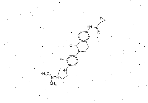 CN(C)[C@@H]1CCN(c2ccc(N3CCc4cc(NC(=O)C5CC5)ccc4C3=O)cc2F)C1